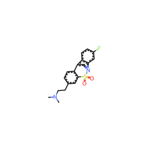 CN(C)CCc1ccc2c(c1)S(=O)(=O)n1cc-2c2ccc(F)cc21